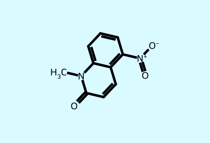 Cn1c(=O)ccc2c([N+](=O)[O-])cccc21